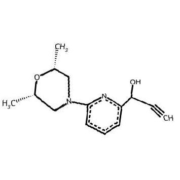 C#CC(O)c1cccc(N2C[C@@H](C)O[C@@H](C)C2)n1